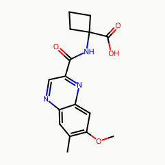 COc1cc2nc(C(=O)NC3(C(=O)O)CCC3)cnc2cc1C